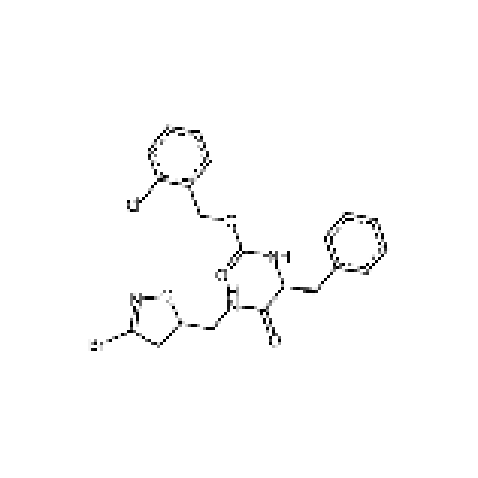 O=C(N[C@@H](Cc1ccccc1)C(=O)NCC1CC(Br)=NO1)OCc1ccccc1Cl